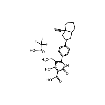 CCc1c(-c2ccc(N3CC4CCCCC4(C#N)C3)cc2)[nH]c(=O)c(C(=O)O)c1O.O=C(O)C(F)(F)F